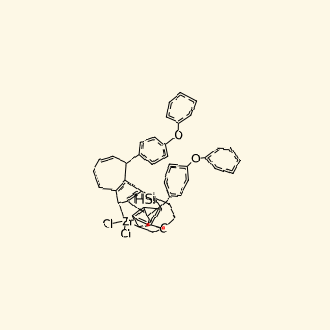 CC1=C2C3=C(C=CC=CC3c3ccc(Oc4ccccc4)cc3)[CH]1[Zr]([Cl])([Cl])[C]13CCCC[SiH]2C(=C1C)C1=C3C=CC=CC1c1ccc(Oc2ccccc2)cc1